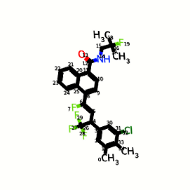 Cc1cc(C(/C=C(\F)c2ccc(C(=O)NCC(C)(C)F)c3ccccc23)C(F)(F)F)cc(Cl)c1C